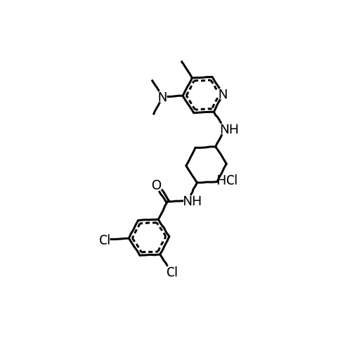 Cc1cnc(NC2CCC(NC(=O)c3cc(Cl)cc(Cl)c3)CC2)cc1N(C)C.Cl